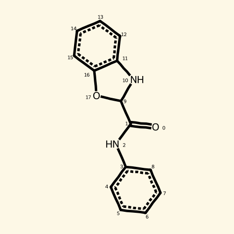 O=C(Nc1ccccc1)C1Nc2ccccc2O1